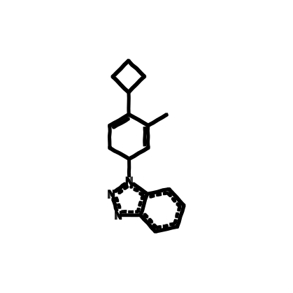 CC1=CC(n2nnc3ccccc32)CC=C1C1CCC1